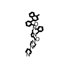 Cc1ccc(-c2ccccc2C(=O)N2Cc3ccc(C(=O)N4CCN(c5ccncc5)CC4)n3Cc3ccccc32)c2ccccc12